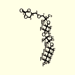 O=C1OCC(COCC(F)(F)OC(F)(F)C(F)(F)OC(F)(F)C(F)(F)OC(F)(F)C(F)(F)C(F)(F)C(F)(F)F)O1